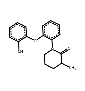 CC1CCCN(c2ccccc2Oc2ccccc2C#N)C1=O